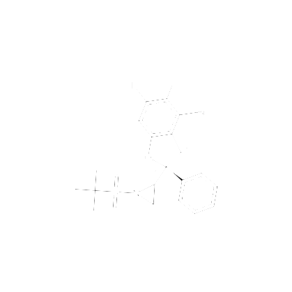 C[C@H]1c2c(cc(F)c(Cl)c2Br)O[C@@]1(c1ccccc1)C1CN1S(=O)(=O)C(C)(C)C